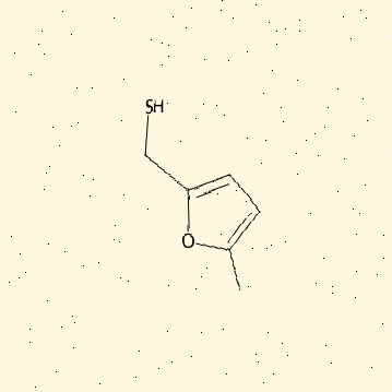 Cc1ccc(CS)o1